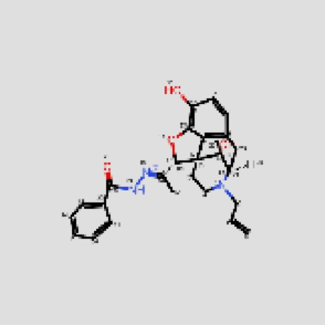 C=CCN1CC[C@]23c4c(ccc(O)c4O[C@H]2/C(C)=N/NC(=O)c2ccccc2)C[C@@H]1[C@@]3(C)O